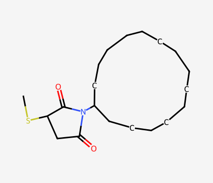 CSC1CC(=O)N(C2CCCCCCCCCCCCCC2)C1=O